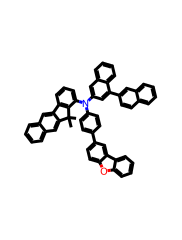 CC1(C)c2cc3ccccc3cc2-c2cccc(N(c3ccc(-c4ccc5oc6ccccc6c5c4)cc3)c3cc(-c4ccc5ccccc5c4)c4ccccc4c3)c21